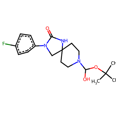 CC(C)(C)OC(O)N1CCC2(CC1)CN(c1ccc(F)cc1)C(=O)N2